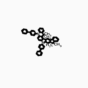 CC1(C)c2ccccc2-c2cc3c4c5c(ccc4n(-c4ccc(-c6ccccc6)cc4)c3cc21)N(c1ccc(-c2ccccc2)cc1)c1ccccc1C5(C)C